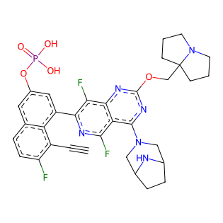 C#Cc1c(F)ccc2cc(OP(=O)(O)O)cc(-c3nc(F)c4c(N5CC6CCC(C5)N6)nc(OCC56CCCN5CCC6)nc4c3F)c12